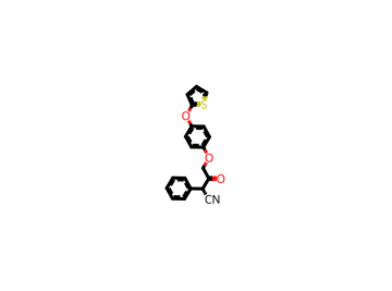 N#CC(C(=O)COc1ccc(Oc2cccs2)cc1)c1ccccc1